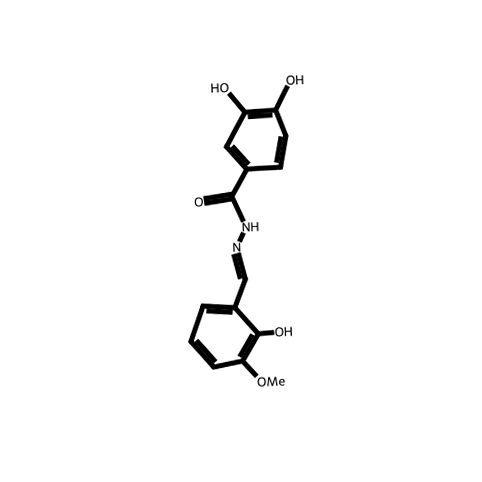 COc1cccc(/C=N/NC(=O)c2ccc(O)c(O)c2)c1O